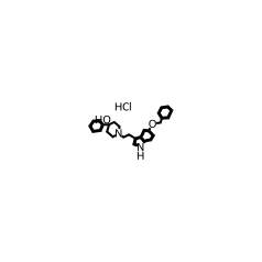 Cl.OC1(c2ccccc2)CCN(CCc2c[nH]c3ccc(OCc4ccccc4)cc23)CC1